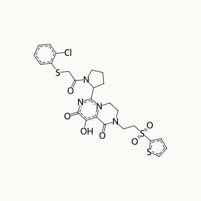 O=C1c2c(O)c(=O)nc(C3CCCN3C(=O)CSc3ccccc3Cl)n2CCN1CCS(=O)(=O)c1cccs1